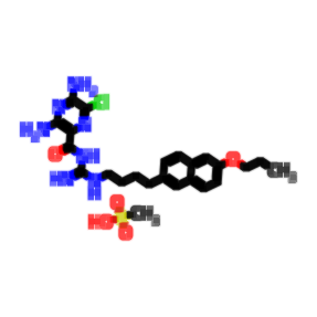 CCCOc1ccc2cc(CCCCNC(=N)NC(=O)c3nc(Cl)c(N)nc3N)ccc2c1.CS(=O)(=O)O